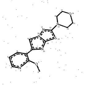 COc1ncccc1-c1cn2nc(N3CCOCC3)sc2n1